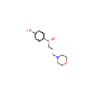 [O-][S+](CCCN1CCOCC1)c1ccc(O)cc1